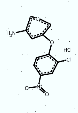 Cl.Nc1cccc(Oc2ccc([N+](=O)[O-])cc2Cl)c1